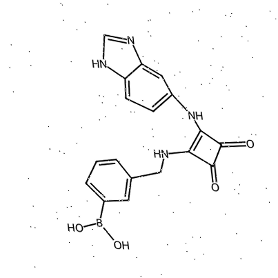 O=c1c(NCc2cccc(B(O)O)c2)c(Nc2ccc3[nH]cnc3c2)c1=O